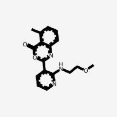 COCCNc1ncccc1-c1nc2cccc(C)c2c(=O)o1